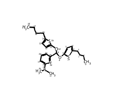 CCCCc1ccc(OC(Oc2ccc(CCCC)s2)c2cccc(N(C)C)n2)s1